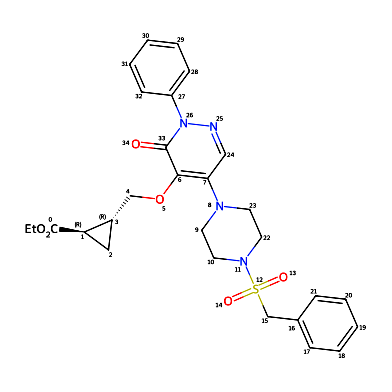 CCOC(=O)[C@@H]1C[C@H]1COc1c(N2CCN(S(=O)(=O)Cc3ccccc3)CC2)cnn(-c2ccccc2)c1=O